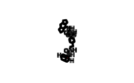 O=C(Nc1c2c(cc3c1CCC3)CCC2)NS(=O)(=O)c1ccc(CCNC(=O)N[C@]23CC4C[C@@H](C[C@H](C4)C2)C3)cc1